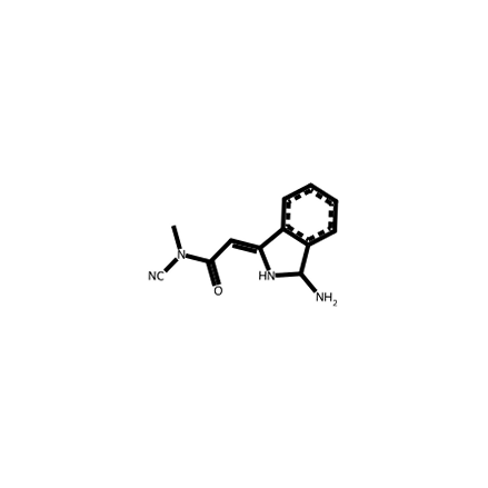 CN(C#N)C(=O)C=C1NC(N)c2ccccc21